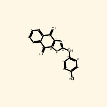 O=C1c2ccccc2C(=O)c2sc(Nc3ccc(Cl)cc3)nc21